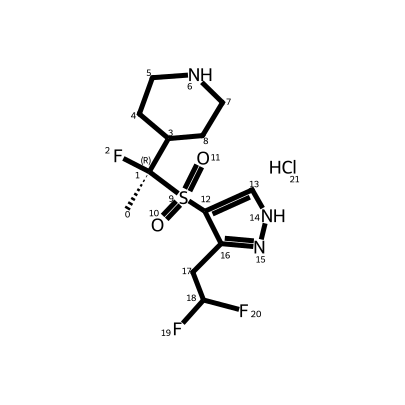 C[C@](F)(C1CCNCC1)S(=O)(=O)c1c[nH]nc1CC(F)F.Cl